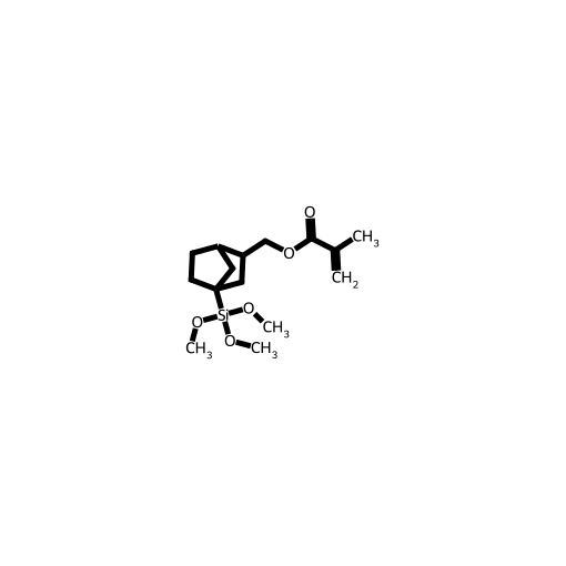 C=C(C)C(=O)OCC1CC2([Si](OC)(OC)OC)CCC1C2